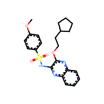 COc1ccc(S(=O)(=O)Nc2nc3ccccc3nc2OCCC2CCCC2)cc1